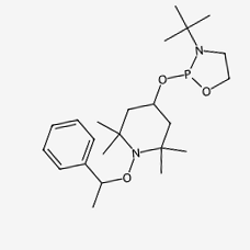 CC(ON1C(C)(C)CC(OP2OCCN2C(C)(C)C)CC1(C)C)c1ccccc1